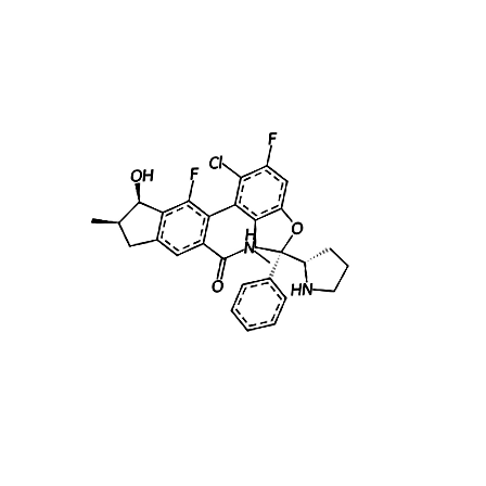 CNC(=O)c1cc2c(c(F)c1-c1c(Cl)c(F)cc3c1C[C@](c1ccccc1)([C@@H]1CCCN1)O3)[C@H](O)[C@H](C)C2